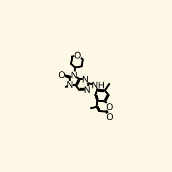 Cc1cc2oc(=O)cc(C)c2cc1Nc1ncc2c(n1)n(C1CCOCC1)c(=O)n2C